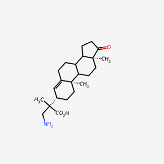 CC(CN)(C(=O)O)[C@@H]1C=C2CCC3C(CC[C@]4(C)C(=O)CCC34)[C@@]2(C)CC1